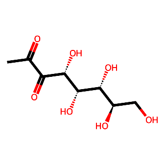 CC(=O)C(=O)[C@H](O)[C@@H](O)[C@H](O)[C@H](O)CO